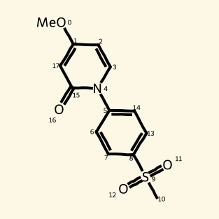 COc1ccn(-c2ccc(S(C)(=O)=O)cc2)c(=O)c1